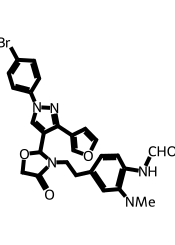 CNc1cc(CCN2C(=O)COC2c2cn(-c3ccc(Br)cc3)nc2-c2ccoc2)ccc1NC=O